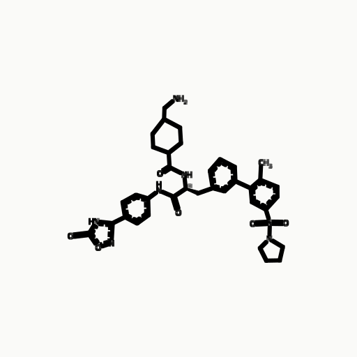 Cc1ccc(S(=O)(=O)N2CCCC2)cc1-c1cccc(C[C@H](NC(=O)C2CCC(CN)CC2)C(=O)Nc2ccc(-c3noc(=O)[nH]3)cc2)c1